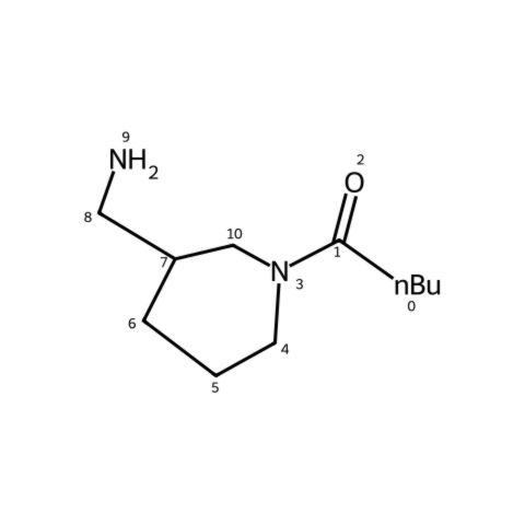 CCCCC(=O)N1CCCC(CN)C1